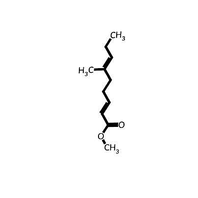 CC/C=C(\C)CC/C=C/C(=O)OC